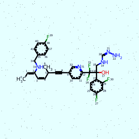 C/C=C(\C=C/C(C)C#Cc1ccc(C(F)(F)C(O)(CN/C=N\N)c2ccc(F)cc2F)nc1)NCc1ccc(F)cc1